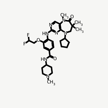 CN1CCC(NC(=O)c2ccc(Nc3ncc4c(n3)N(C3CCCC3)CC(C)(C)C(=O)N4C)c(OCC(F)F)c2)CC1